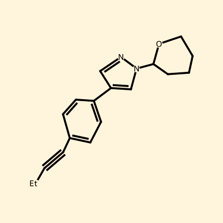 CCC#Cc1ccc(-c2cnn(C3CCCCO3)c2)cc1